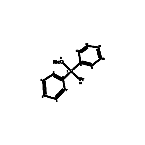 CO[Si](c1ccccc1)(c1ccccc1)C(C)C